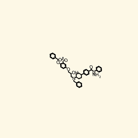 CS(=O)(=O)c1cc(OC[C@@H](O)CN(Cc2ccccc2)C2CCC(c3ccc(C(=O)N(N)c4ccccc4)cc3)CC2)ccc1OCc1ccccc1